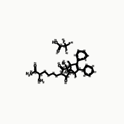 CC12C(=O)C(C)(C(c3ccccc3)=C1c1ccccc1)C1(Br)C(=O)N(CCCCC(N)C(N)=O)C(=O)C21.O=C(O)C(F)(F)F